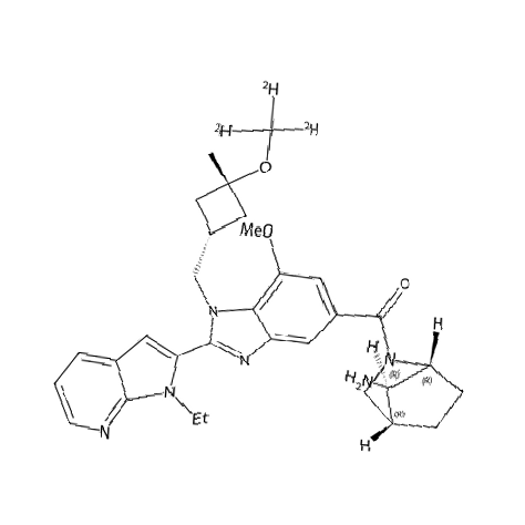 [2H]C([2H])([2H])O[C@]1(C)C[C@H](Cn2c(-c3cc4cccnc4n3CC)nc3cc(C(=O)N4C[C@H]5CC[C@@H]4[C@@H]5N)cc(OC)c32)C1